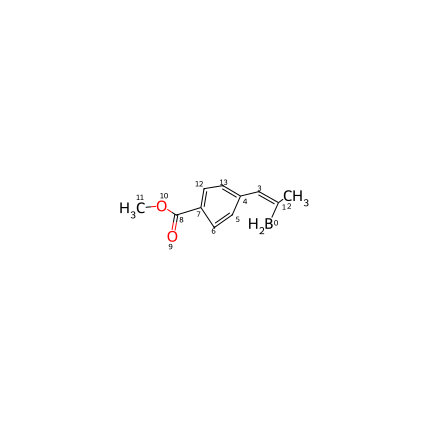 B/C(C)=C\c1ccc(C(=O)OC)cc1